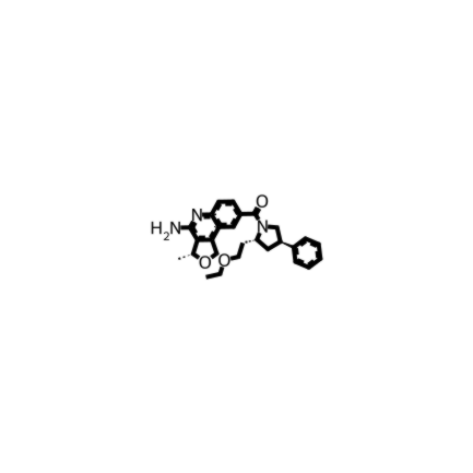 CCOCC[C@H]1C[C@H](c2ccccc2)CN1C(=O)c1ccc2nc(N)c3c(c2c1)CO[C@@H]3C